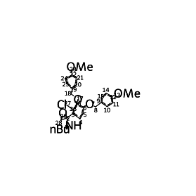 CCCCNC1(c2ccc(OCc3ccc(OC)cc3)c(OCc3ccc(OC)cc3)c2Cl)CO1